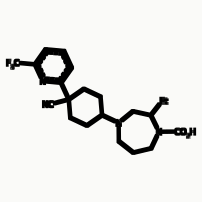 CCC1CN(C2CCC(C#N)(c3cccc(C(F)(F)F)n3)CC2)CCCN1C(=O)O